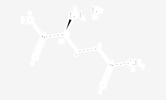 NC(=O)CC[C@H](N)C(=O)O.[Na]